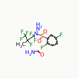 CC(F)(C(F)(F)F)C(F)(F)N(N)S(=O)(=O)c1cc(F)ccc1F.NC=O